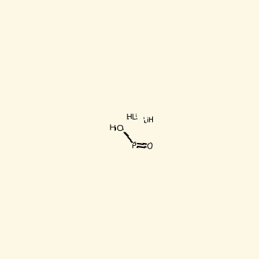 O=PO.[LiH].[LiH]